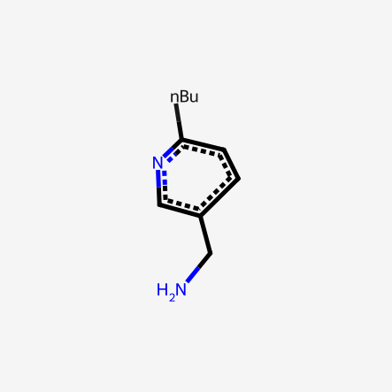 CCCCc1ccc(CN)cn1